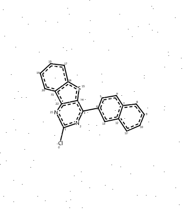 Clc1nc(-c2ccc3ccccc3c2)c2sc3ccccc3c2n1